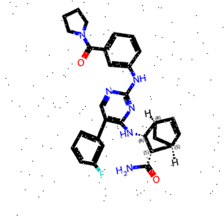 NC(=O)[C@@H]1[C@H](Nc2nc(Nc3cccc(C(=O)N4CCCC4)c3)ncc2-c2cccc(F)c2)[C@H]2C=C[C@@H]1C2